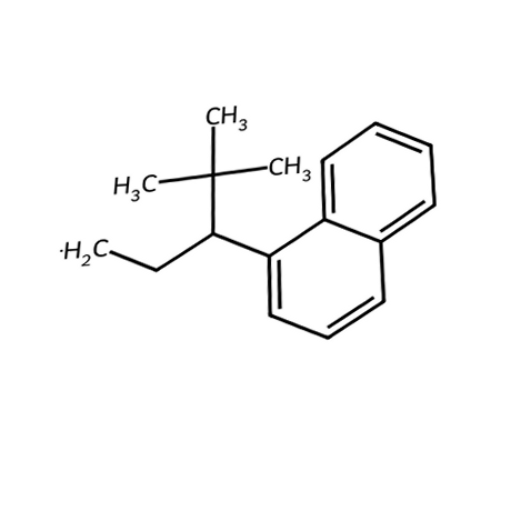 [CH2]CC(c1cccc2ccccc12)C(C)(C)C